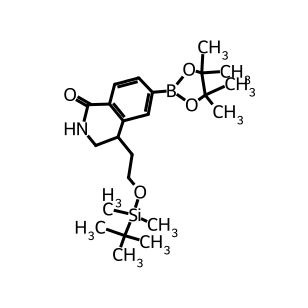 CC1(C)OB(c2ccc3c(c2)C(CCO[Si](C)(C)C(C)(C)C)CNC3=O)OC1(C)C